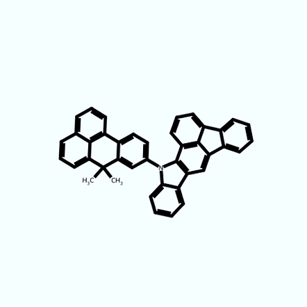 CC1(C)c2cc(-n3c4ccccc4c4cc5c6c(cccc6c43)-c3ccccc3-5)ccc2-c2cccc3cccc1c23